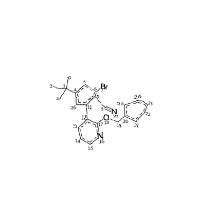 CC(C)(C)c1cc(Br)c(C#N)c(-c2cccnc2OCc2ccccc2)c1